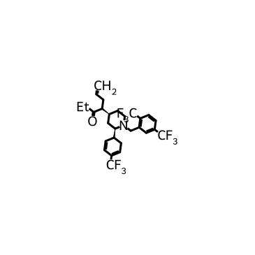 C=CCC(C(=O)CC)[C@H]1CCN(Cc2cc(C(F)(F)F)ccc2C(F)(F)F)[C@@H](C2C=CC(C(F)(F)F)=CC2)C1